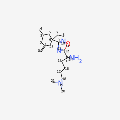 C=C1CC(C)CC(CC)(c2noc([C@@H](N)CCCCN(C)C)n2)C1